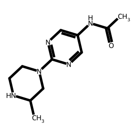 CC(=O)Nc1cnc(N2CCNC(C)C2)nc1